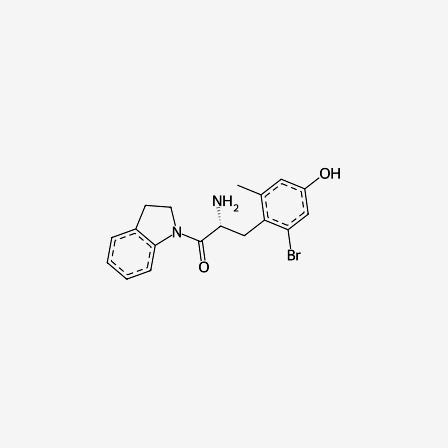 Cc1cc(O)cc(Br)c1C[C@@H](N)C(=O)N1CCc2ccccc21